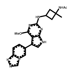 COc1nc(NC2CC(C)(NC(C)=O)C2)nc2[nH]cc(-c3ccc4nncn4c3)c12